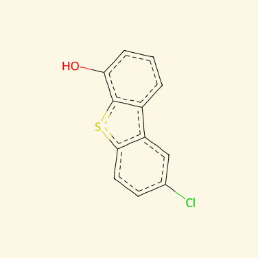 Oc1cccc2c1sc1ccc(Cl)cc12